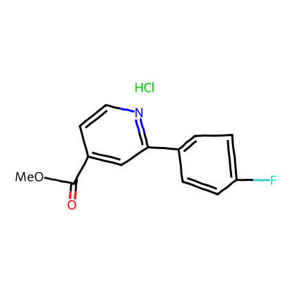 COC(=O)c1ccnc(-c2ccc(F)cc2)c1.Cl